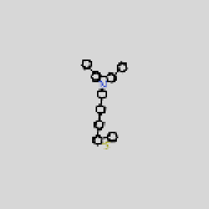 c1ccc(-c2ccc3c(c2)c2cc(-c4ccccc4)ccc2n3-c2ccc(-c3ccc(-c4ccc(-c5cccc6sc7ccccc7c56)cc4)cc3)cc2)cc1